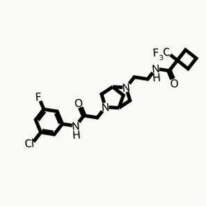 O=C(CN1CC2CC1CN2CCNC(=O)C1(C(F)(F)F)CCC1)Nc1cc(F)cc(Cl)c1